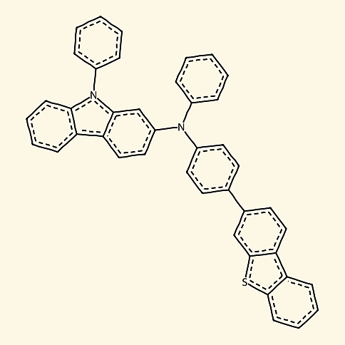 c1ccc(N(c2ccc(-c3ccc4c(c3)sc3ccccc34)cc2)c2ccc3c4ccccc4n(-c4ccccc4)c3c2)cc1